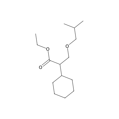 CCOC(=O)C(COCC(C)C)C1CCCCC1